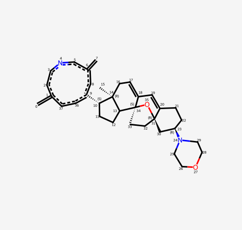 C=c1ccncc(=C)cc([C@H]2CCC3[C@]2(C)CC=C2C=C4CC[C@@H](N5CCOCC5)C[C@]45CC[C@@]23O5)cc1